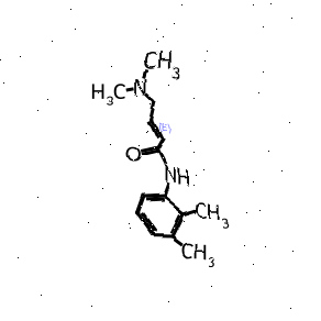 Cc1cccc(NC(=O)/C=C/CN(C)C)c1C